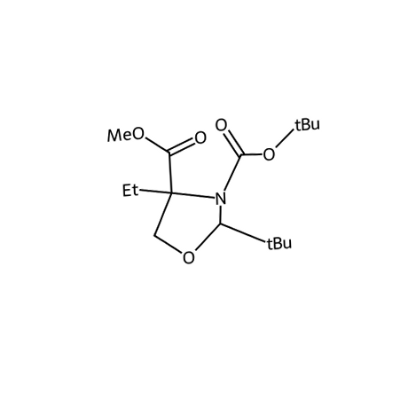 CCC1(C(=O)OC)COC(C(C)(C)C)N1C(=O)OC(C)(C)C